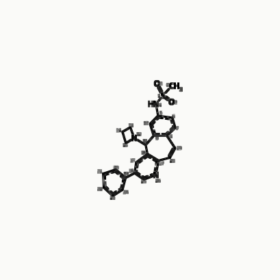 CS(=O)(=O)Nc1ccc2c(c1)C(N1CCC1)c1cc(-c3ccccc3)cnc1C=C2